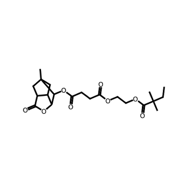 CCC(C)(C)C(=O)OCCOC(=O)CCC(=O)OC1C2OC(=O)C3CC1(C)CC32